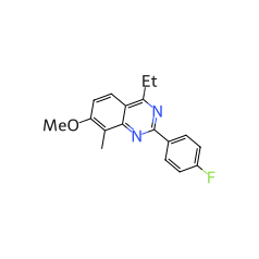 CCc1nc(-c2ccc(F)cc2)nc2c(C)c(OC)ccc12